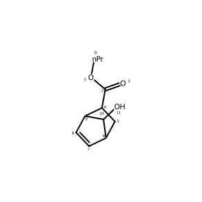 CCCOC(=O)C1CC2C=CC1C2O